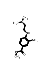 CNC(=O)c1ccc(NCCN(C)C)c(N)c1